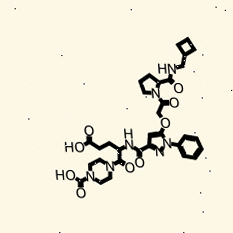 O=C(O)CCC(NC(=O)c1cc(OCC(=O)N2CCCC2C(=O)NCC2CCC2)n(-c2ccccc2)n1)C(=O)N1CCN(C(=O)O)CC1